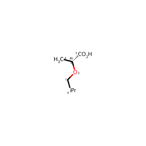 CC(C)CO[C@H](C)C(=O)O